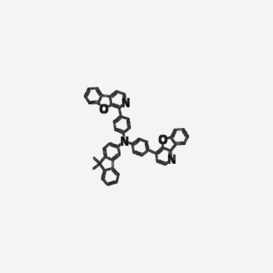 CC1(C)c2ccccc2-c2cc(N(c3ccc(-c4nccc5c4oc4ccccc45)cc3)c3ccc(-c4ccnc5c4oc4ccccc45)cc3)ccc21